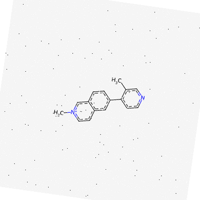 Cc1cnccc1-c1ccc2c[n+](C)ccc2c1